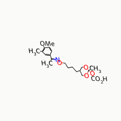 COc1ccc(C(C)=NOCCCCC2COC(C)(OC(=O)O)OC2)cc1C